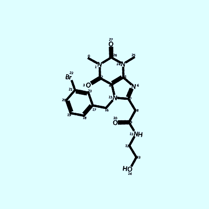 Cn1c(=O)c2c(nc(CC(=O)NCCO)n2Cc2cccc(Br)c2)n(C)c1=O